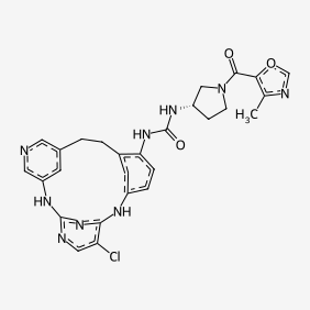 Cc1ncoc1C(=O)N1CC[C@H](NC(=O)Nc2ccc3cc2CCc2cncc(c2)Nc2ncc(Cl)c(n2)N3)C1